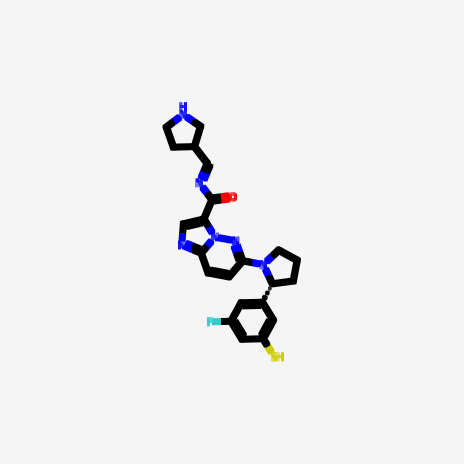 O=C(/N=C/C1CCNC1)c1cnc2ccc(N3CCC[C@@H]3c3cc(F)cc(S)c3)nn12